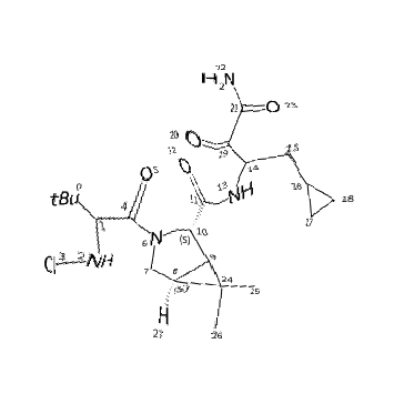 CC(C)(C)C(NCl)C(=O)N1C[C@H]2C([C@H]1C(=O)NC(CC1CC1)C(=O)C(N)=O)C2(C)C